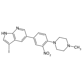 CN1CCN(c2ccc(-c3cnc4[nH]cc(I)c4c3)cc2[N+](=O)[O-])CC1